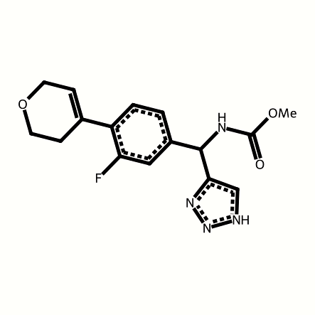 COC(=O)NC(c1ccc(C2=CCOCC2)c(F)c1)c1c[nH]nn1